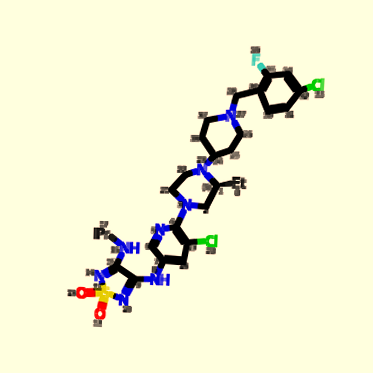 CC[C@H]1CN(c2ncc(NC3=NS(=O)(=O)N=C3NC(C)C)cc2Cl)CCN1C1CCN(Cc2ccc(Cl)cc2F)CC1